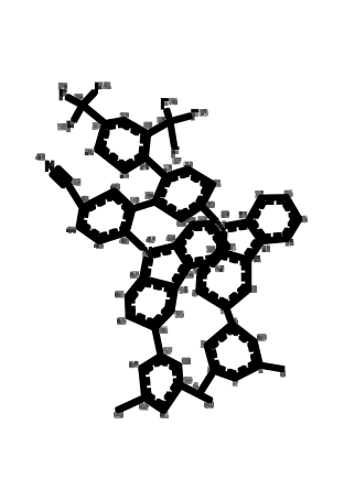 Cc1cc(C)cc(-c2ccc3c(c2)c2ccccc2n3-c2ccc(-c3ccc(C(F)(F)F)cc3C(F)(F)F)c(-c3cc(C#N)ccc3-n3c4ccccc4c4cc(-c5cc(C)cc(C)c5)ccc43)c2)c1